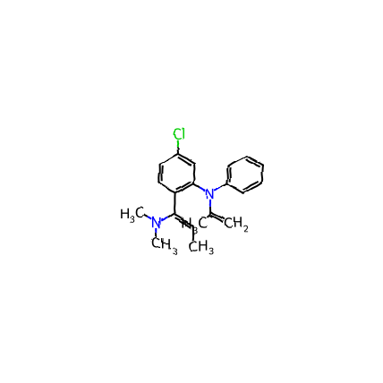 C=C(C)N(c1ccccc1)c1cc(Cl)ccc1/C(=C/C)N(C)C